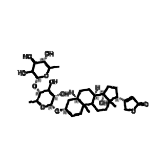 CC1O[C@H](O[C@H]2C(C)O[C@@H](O[C@H]3CCC4(C)C5CCC6(C)[C@@H](C7=CC(=O)OC7)CC[C@]6(O)[C@@H]5CC[C@@H]4C3)[C@@H](O)C2O)C(O)C(O)[C@@H]1O